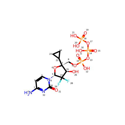 Nc1ccn([C@@H]2O[C@@](COP(=O)(O)OP(=O)(O)OP(=O)(O)O)(C3CC3)[C@@H](O)C2(F)F)c(=O)n1